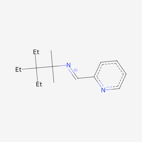 CCC(CC)(CC)C(C)(C)/N=C/c1ccccn1